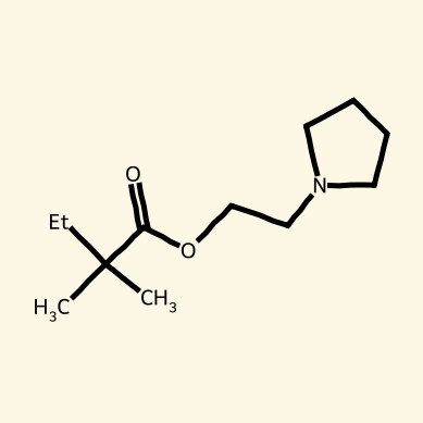 CCC(C)(C)C(=O)OCCN1CCCC1